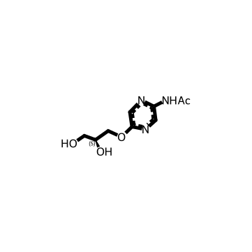 CC(=O)Nc1cnc(OC[C@@H](O)CO)cn1